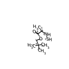 C[C@@H](NS)C(=O)OCC(C)(C)C